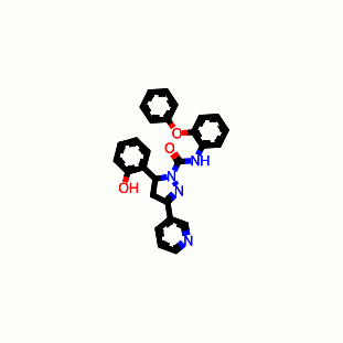 O=C(Nc1ccccc1Oc1ccccc1)N1N=C(c2cccnc2)CC1c1ccccc1O